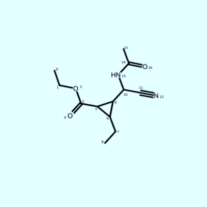 CCOC(=O)C1C(CC)C1C(C#N)NC(C)=O